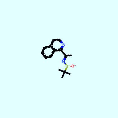 CC(=N[S@+]([O-])C(C)(C)C)c1nccc2ccccc12